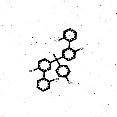 CC(c1ccc(O)cc1)(c1ccc(O)c(-c2ccccc2O)c1)c1ccc(O)c(-c2ccccc2O)c1